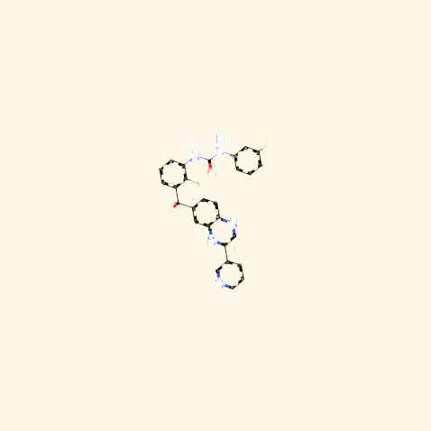 O=C(Nc1cccc(F)c1)Nc1cccc(C(=O)c2ccc3ncc(-c4cccnc4)nc3c2)c1F